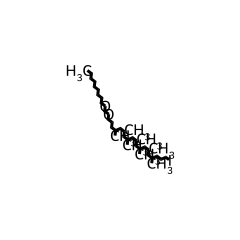 CCCCCCCCCOCOCCCC(C)CC(C)CC(C)CC(C)CC(C)CC(C)CC(C)CCCI